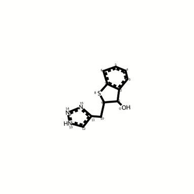 OC1c2ccccc2SC1Cc1c[nH]nn1